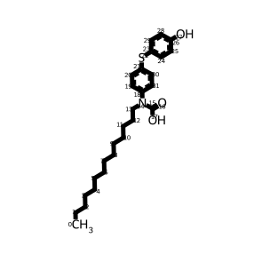 CCCCCCCCCCCCCCN(C(=O)O)c1ccc(Sc2ccc(O)cc2)cc1